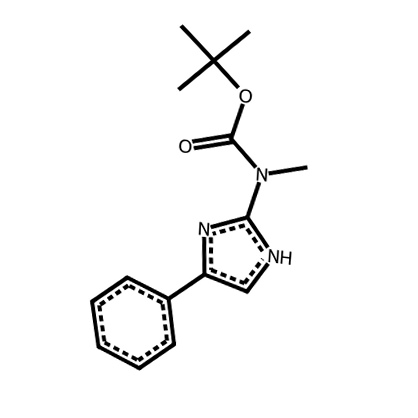 CN(C(=O)OC(C)(C)C)c1nc(-c2ccccc2)c[nH]1